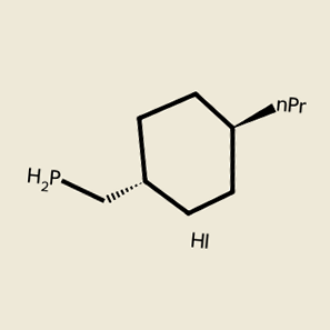 CCC[C@H]1CC[C@H](CP)CC1.I